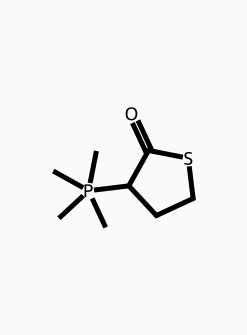 CP(C)(C)(C)C1CCSC1=O